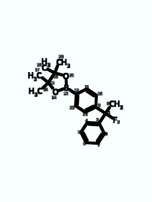 CC(F)(c1ccccc1)c1ccc(B2OC(C)(C)C(C)(C)O2)cc1